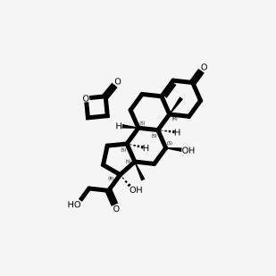 C[C@]12CCC(=O)C=C1CC[C@@H]1[C@@H]2[C@@H](O)C[C@@]2(C)[C@H]1CC[C@]2(O)C(=O)CO.O=C1CCO1